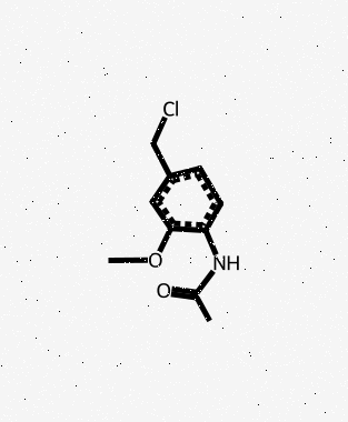 COc1cc(CCl)ccc1NC(C)=O